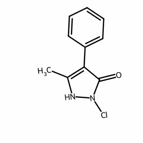 Cc1[nH]n(Cl)c(=O)c1-c1ccccc1